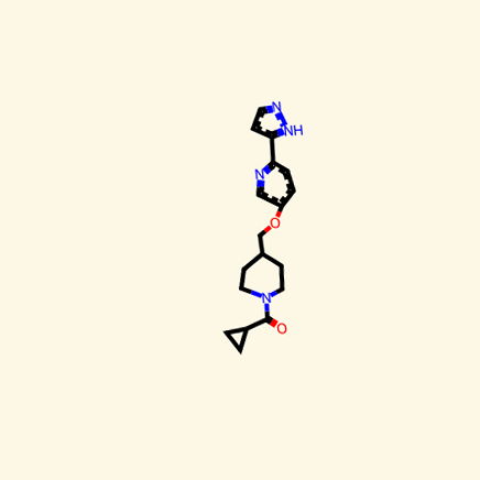 O=C(C1CC1)N1CCC(COc2ccc(-c3ccn[nH]3)nc2)CC1